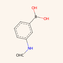 O=CNc1cccc(B(O)O)c1